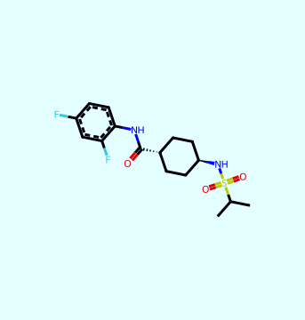 CC(C)S(=O)(=O)N[C@H]1CC[C@H](C(=O)Nc2ccc(F)cc2F)CC1